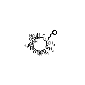 CCC(C)[C@@H]1NC(=O)[C@H](CC(C)C)N(C)C(=O)[C@H](C)[C@@H](CCCCc2ccccc2)OC(=O)CNC(=O)[C@H](C(C)O)NC(=O)[C@H](CN)NC1=O